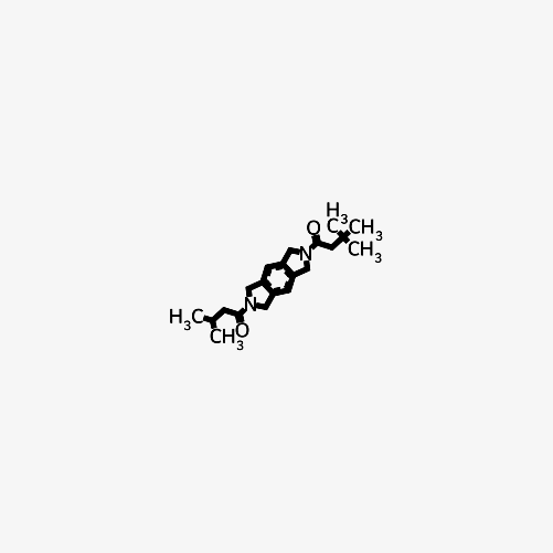 CC(C)CC(=O)N1Cc2cc3c(cc2C1)CN(C(=O)CC(C)(C)C)C3